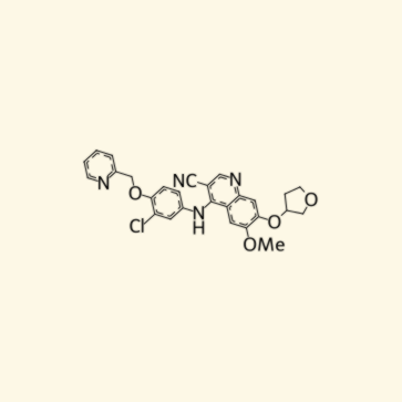 COc1cc2c(Nc3ccc(OCc4ccccn4)c(Cl)c3)c(C#N)cnc2cc1OC1CCOC1